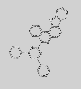 c1ccc(-c2cc(-c3ccccc3)nc(-c3nc4ccc5c6ccccc6sc5c4c4ccccc34)n2)cc1